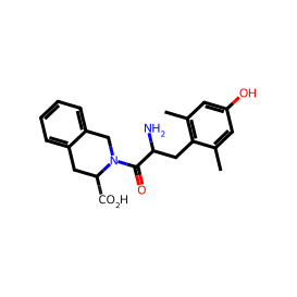 Cc1cc(O)cc(C)c1CC(N)C(=O)N1Cc2ccccc2CC1C(=O)O